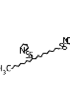 CCCCCCCCC(CCCCCCCCCSSc1ccccn1)SSc1ccccn1